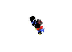 CN(c1cc(F)c(S(=O)(=O)Nc2cscn2)cc1Br)C1CCN(Cc2ccccc2)C1